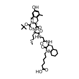 CSCC[C@@H](NC(=O)[C@H](Cc1c(C)cc(O)cc1C)NC(=O)OC(C)(C)C)C(=O)NCC(=O)N[C@@H](CC1CCCCC1)C(=O)NCCCCCC(=O)O